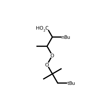 CCCCC(C(=O)O)C(C)OOC(C)(C)CC(C)(C)C